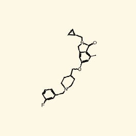 Cc1cc(OCC2CCN(Cc3cccc(F)c3)CC2)cc2c1C(=O)N(CC1CC1)C2